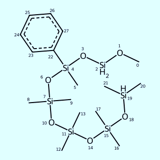 CO[SiH2]O[Si](C)(O[Si](C)(C)O[Si](C)(C)O[Si](C)(C)O[SiH](C)C)c1ccccc1